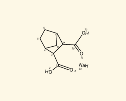 O=C(O)C1C2CCC(C2)C1C(=O)O.[NaH]